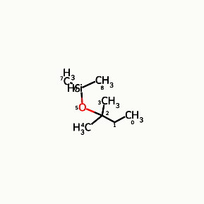 CCC(C)(C)O[SiH](C)C